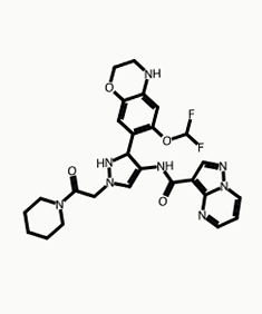 O=C(NC1=CN(CC(=O)N2CCCCC2)NC1c1cc2c(cc1OC(F)F)NCCO2)c1cnn2cccnc12